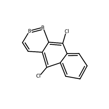 Clc1c2bbccc2c(Cl)c2ccccc12